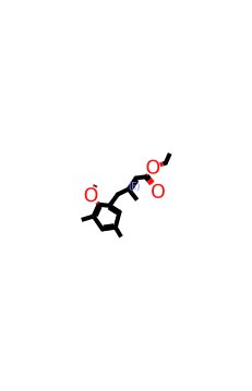 CCOC(=O)/C=C(\C)Cc1cc(C)cc(C)c1OC